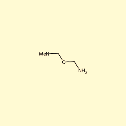 CNCOCN